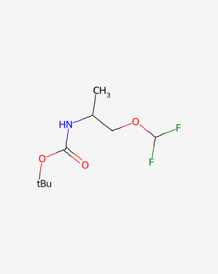 CC(COC(F)F)NC(=O)OC(C)(C)C